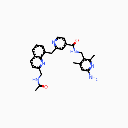 CC(=O)NCc1ccc2cccc(Cc3cc(C(=O)NCc4c(C)cc(N)nc4C)ccn3)c2n1